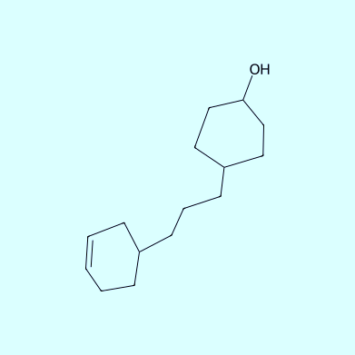 OC1CCC(CCCC2CC=CCC2)CC1